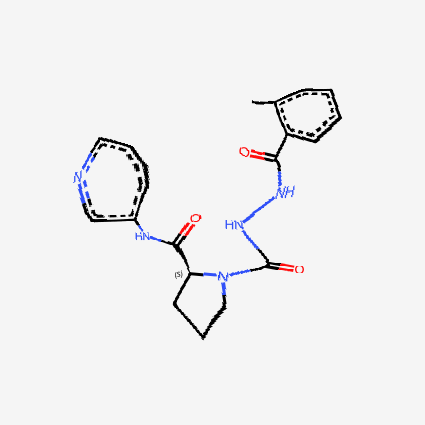 Cc1ccccc1C(=O)NNC(=O)N1CCC[C@H]1C(=O)Nc1cccnc1